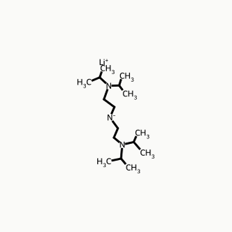 CC(C)N(CC[N-]CCN(C(C)C)C(C)C)C(C)C.[Li+]